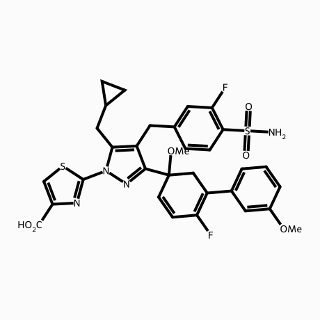 COc1cccc(C2=C(F)C=CC(OC)(c3nn(-c4nc(C(=O)O)cs4)c(CC4CC4)c3Cc3ccc(S(N)(=O)=O)c(F)c3)C2)c1